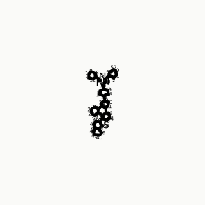 c1ccc(-c2nc(-c3ccccc3)nc(-c3ccc(-c4ccc5c(c4)c4ccccc4c4c5ccc5sc6c7ccccc7ccc6c54)cc3)n2)cc1